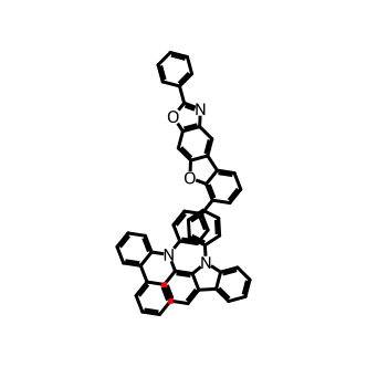 c1ccc(-c2nc3cc4c(cc3o2)oc2c(-c3ccc(N(c5ccccc5-c5ccccc5)c5cccc6c7ccccc7n(-c7ccccc7)c56)cc3)cccc24)cc1